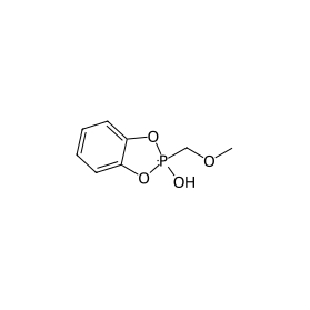 COC[P]1(O)Oc2ccccc2O1